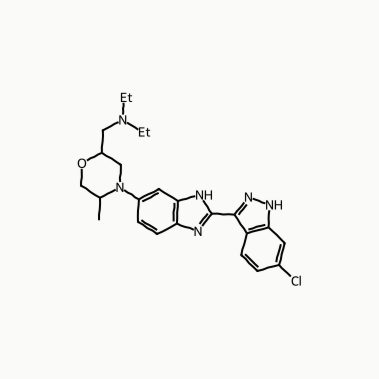 CCN(CC)CC1CN(c2ccc3nc(-c4n[nH]c5cc(Cl)ccc45)[nH]c3c2)C(C)CO1